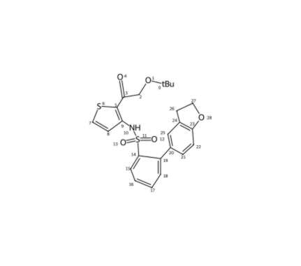 CC(C)(C)OCC(=O)c1sccc1NS(=O)(=O)c1ccccc1-c1ccc2c(c1)CCO2